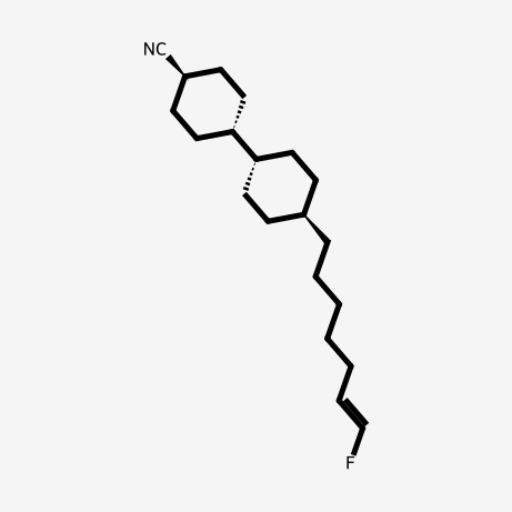 N#C[C@H]1CC[C@H]([C@H]2CC[C@H](CCCCCC=CF)CC2)CC1